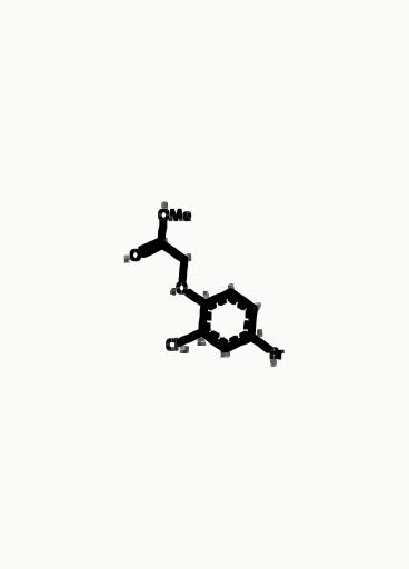 COC(=O)COc1ccc(Br)cc1Cl